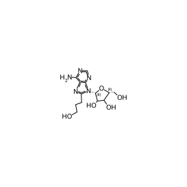 Nc1ncnc2c1nc(CCCO)n2[C@@H]1O[C@H](CO)C(O)C1O